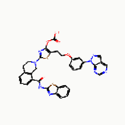 O=C(O)Oc1nc(N2CCc3cccc(C(=O)Nc4nc5ccccc5s4)c3C2)sc1CCOc1cccc(-n2ncc3cncnc32)c1